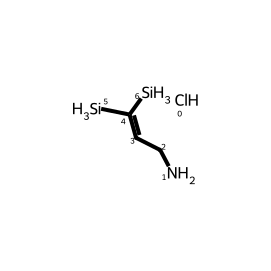 Cl.NCC=C([SiH3])[SiH3]